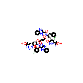 CC(C)(O)CC[C@H](C[C@@H](OC(=O)C=CC(=O)O[C@H](C[C@@H](CCC(C)(C)O)C(N)=O)[C@H](Cc1cccc(F)c1)NC(=O)c1cnc2ccccc2n1)[C@H](Cc1cccc(F)c1)NC(=O)c1cnc2ccccc2n1)C(N)=O